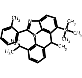 Cc1ccccc1-c1nc2ccc([Si](C)(C)C)c3c2n1-c1c(C(C)C)cccc1C3C